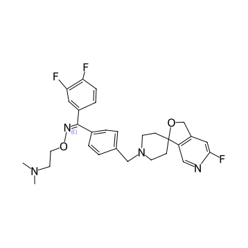 CN(C)CCO/N=C(\c1ccc(CN2CCC3(CC2)OCc2cc(F)ncc23)cc1)c1ccc(F)c(F)c1